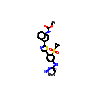 CN/C=C(\N=N)Nc1ccc(-c2cnc(C3CCC4(NC(=O)OC(C)C)CCCC3C4)s2)c(S(=O)(=O)C2CC2)c1